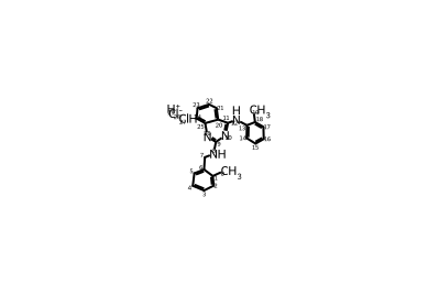 Cc1ccccc1CNc1nc(Nc2ccccc2C)c2ccccc2n1.Cl.[Cl-].[H+]